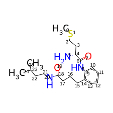 CSCC[C@@H](N)C(=O)Nc1ccccc1CCCC(=O)NCCC(C)C